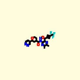 Cc1nc(NC(=O)C2CCOC(c3ccnnc3)C2)c(C(=O)C23CC(C(F)(F)F)(C2)C3)nc1C